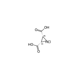 Cl.O=C(O)[C@H]1C[C@H]1C(=O)O